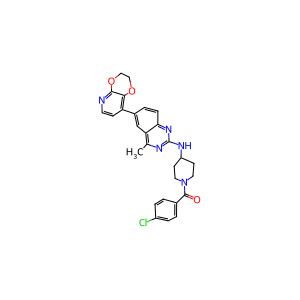 Cc1nc(NC2CCN(C(=O)c3ccc(Cl)cc3)CC2)nc2ccc(-c3ccnc4c3OCCO4)cc12